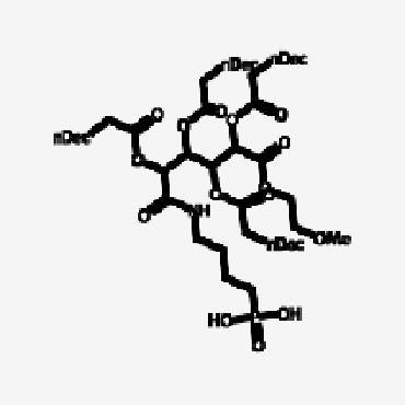 CCCCCCCCCCCC(=O)OC(C(=O)NCCCCP(=O)(O)O)C(OC(=O)CCCCCCCCCCC)C(OC(=O)CCCCCCCCCCC)C(OC(=O)CCCCCCCCCCC)C(=O)OCCOC